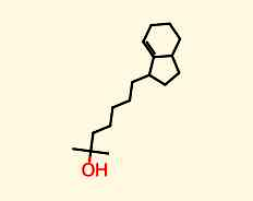 CC(C)(O)CCCCCC1CCC2CCCC=C21